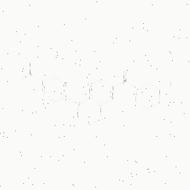 CC(C)(C)OC(=O)c1ccc(N2CCOc3cc(C(=O)N4CCC[C@@H](F)C4)cnc32)cc1